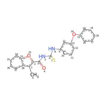 Cc1c(C(=O)NC(=S)Nc2cccc(Oc3ccccc3)c2)oc2ccccc12